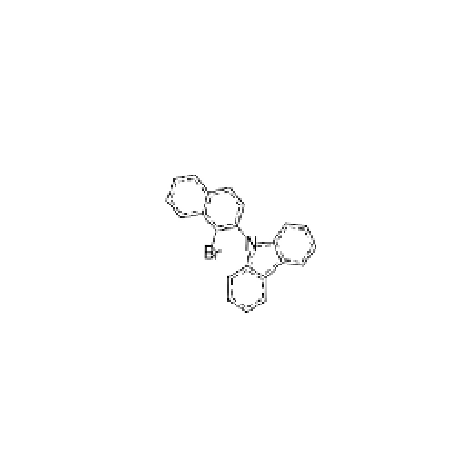 Brc1c(-n2c3ccccc3c3ccccc32)ccc2ccccc12